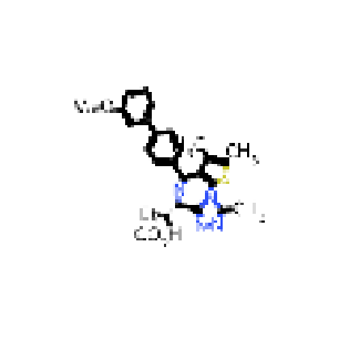 CCC(C(=O)O)[C@@H]1N=C(c2ccc(-c3cccc(OC)c3)cc2)c2c(sc(C)c2C)-n2c(C)nnc21